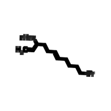 C=CC(CCC=CCCCCC(C)C)CCCCCC